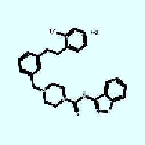 Cc1ccccc1CCc1cccc(CN2CCN(C(=O)Nc3noc4ccccc34)CC2)c1.Cl